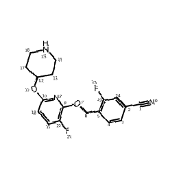 N#Cc1ccc(COc2nc(OC3CCNCC3)ccc2F)c(F)c1